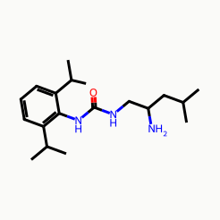 CC(C)CC(N)CNC(=O)Nc1c(C(C)C)cccc1C(C)C